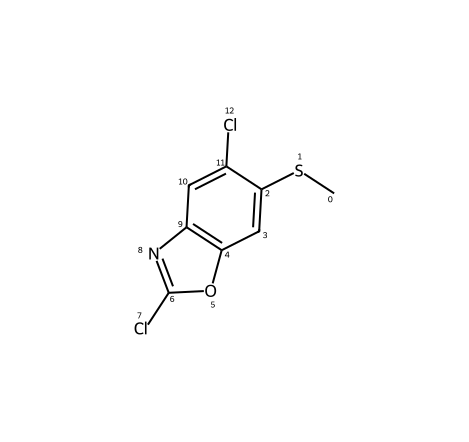 CSc1cc2oc(Cl)nc2cc1Cl